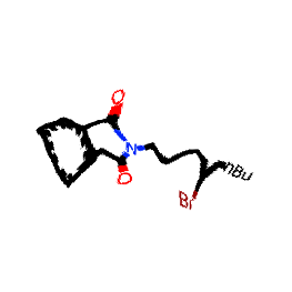 CCCCC(Br)CCCN1C(=O)c2ccccc2C1=O